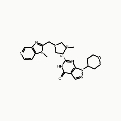 C[C@@H]1CN(Cc2nc3cnccc3n2C)C[C@H]1c1nc2c(cnn2C2CCOCC2)c(=O)[nH]1